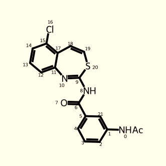 CC(=O)Nc1cccc(C(=O)NC2=Nc3cccc(Cl)c3C=CS2)c1